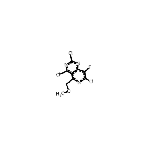 COCc1nc(Cl)c(F)c2nc(Cl)nc(Cl)c12